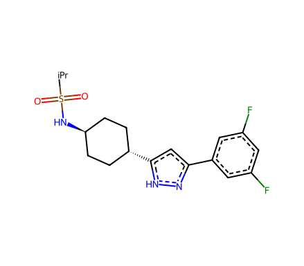 CC(C)S(=O)(=O)N[C@H]1CC[C@H](c2cc(-c3cc(F)cc(F)c3)n[nH]2)CC1